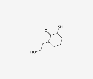 O=C1C(S)CCCN1CCO